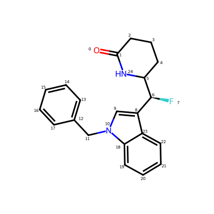 O=C1CCCC([C@@H](F)c2cn(Cc3ccccc3)c3ccccc23)N1